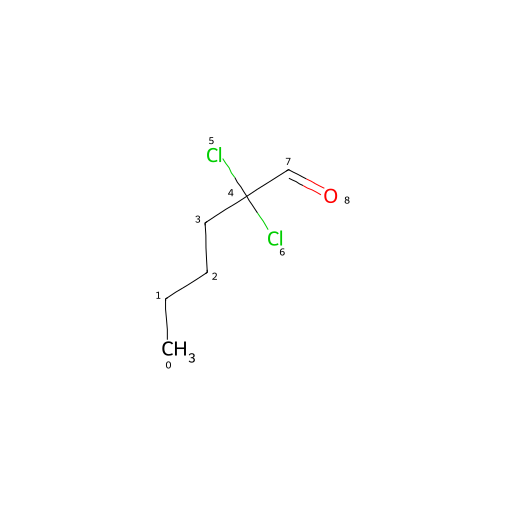 CCCCC(Cl)(Cl)C=O